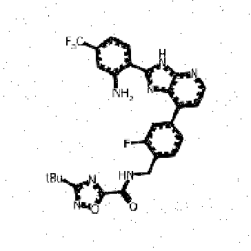 CC(C)(C)c1noc(C(=O)NCc2ccc(-c3ccnc4[nH]c(-c5ccc(C(F)(F)F)cc5N)nc34)cc2F)n1